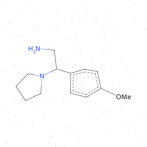 COc1ccc(C(CN)N2CCCC2)cc1